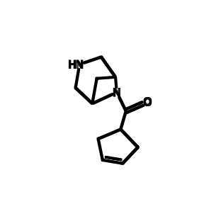 O=C(C1CC=CC1)N1C2CNCC1C2